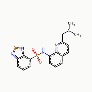 CN(C)Cc1ccc2cccc(NS(=O)(=O)c3cccc4nsnc34)c2n1